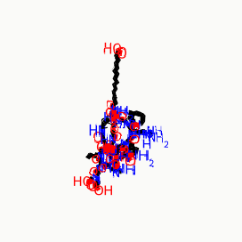 C=C1/C=C\C=C/CN/C=C\1C[C@@H]1NC(=O)[C@H](CCCNC(=N)N)NC(=O)[C@@H](Cc2ccccc2)NC(=O)[C@@H]2C[C@@H](O)CN2C(=O)[C@@H](NC(=O)[C@H](CCCC)NC(=O)[C@H](CNC(=O)CN(CC(=O)O)CC(=O)O)NC(=O)[C@H](Cc2c[nH]cn2)NC(=O)[C@H](CCC(N)=O)NC(=O)[C@H](CO)NC(=O)CNC(=O)COCCOCCNC(=O)CCCCCCCCCCCCCCC(=O)O)CCC(=O)NCCCC[C@@H](C(N)=O)NC1=O